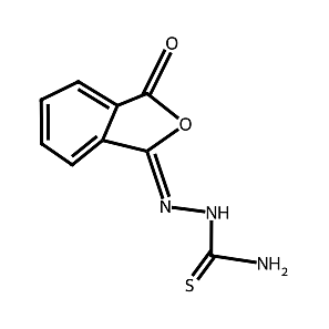 NC(=S)NN=C1OC(=O)c2ccccc21